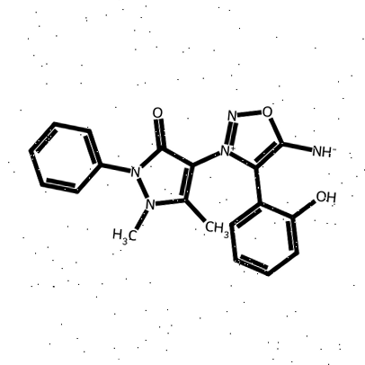 Cc1c(-[n+]2noc([NH-])c2-c2ccccc2O)c(=O)n(-c2ccccc2)n1C